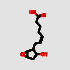 O=C(O)CCC/C=C\CC1C(O)CC2OC21